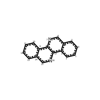 c1ccc2c(c1)cnc1c3ccccc3cnc21